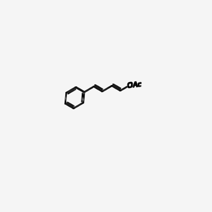 CC(=O)OC=CC=Cc1ccccc1